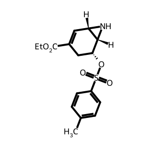 CCOC(=O)C1=C[C@@H]2N[C@@H]2[C@H](OS(=O)(=O)c2ccc(C)cc2)C1